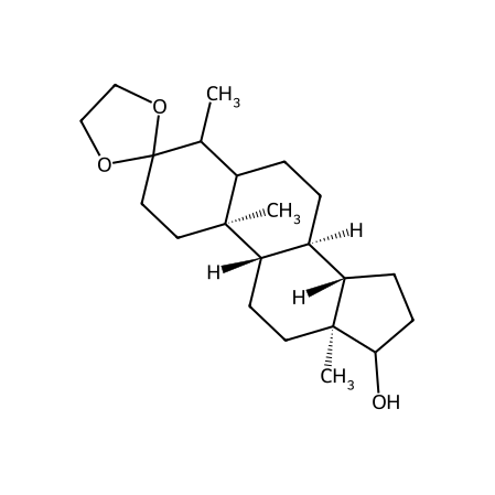 CC1C2CC[C@@H]3[C@H](CC[C@]4(C)C(O)CC[C@@H]34)[C@@]2(C)CCC12OCCO2